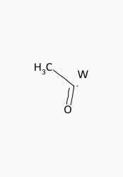 C[C]=O.[W]